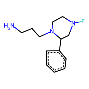 NCCCN1CCN(F)CC1c1ccccc1